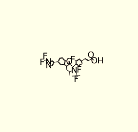 CC1Cc2c(oc3ccc(-c4cnn(C(F)F)c4)cc23)C(c2c(F)cc(/C=C/C(=O)O)cc2F)N1CC(C)(C)F